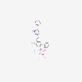 CSCC[C@H](NC(=O)c1ccc(C=Cc2ccc(Oc3ccccc3)nc2)cc1-c1ccccc1C)C(=O)[O-].[Li+]